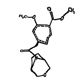 COC(=O)c1ccc(C(=O)N2C3CCC2COC3)cc1OC